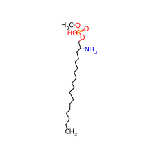 CCCCCCCCCCCCCCCC[C@@H](N)COP(=O)(O)OC